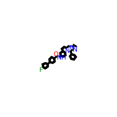 O=C(Nc1ccc2nc(CN3CCN=C3Cc3ccccc3)ccc2c1)c1ccc(-c2ccc(F)cc2)cc1